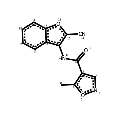 Cc1oncc1C(=O)Nc1c(C#N)oc2ccccc12